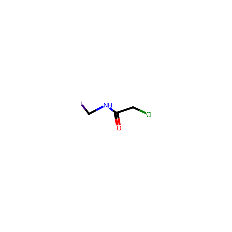 O=C(CCl)NCI